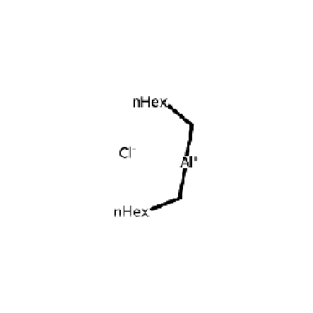 CCCCCC[CH2][Al+][CH2]CCCCCC.[Cl-]